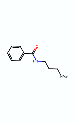 CNCCCNC(=O)c1ccccc1